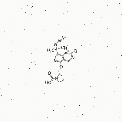 CC(C)(N=[N+]=[N-])c1cnc(OCC2CCCN2C(=O)O)c2cnc(Cl)cc12